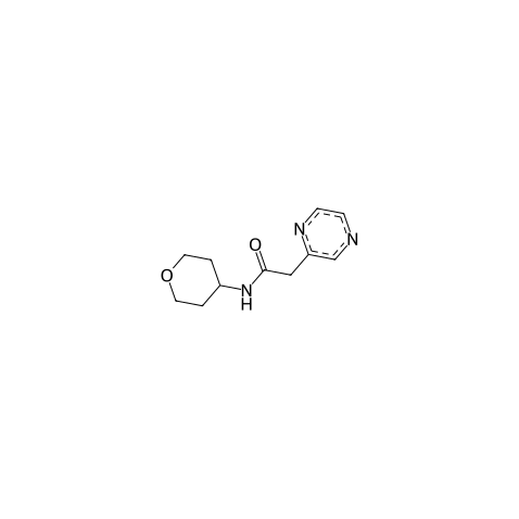 O=C(Cc1cnccn1)NC1CCOCC1